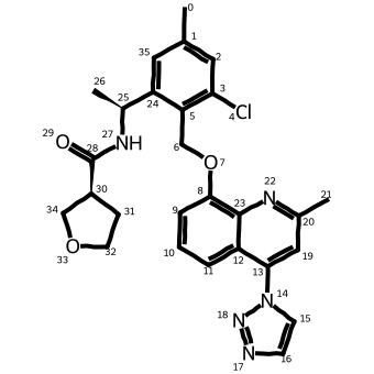 Cc1cc(Cl)c(COc2cccc3c(-n4ccnn4)cc(C)nc23)c([C@H](C)NC(=O)[C@H]2CCOC2)c1